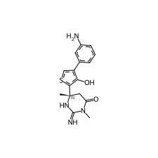 CN1C(=N)N[C@](C)(c2scc(-c3cccc(N)c3)c2O)CC1=O